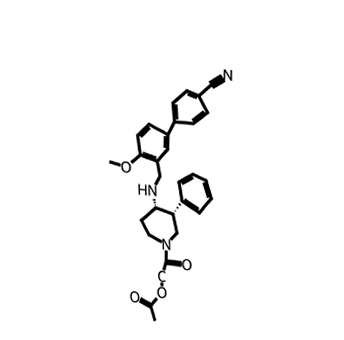 COc1ccc(-c2ccc(C#N)cc2)cc1CN[C@H]1CCN(C(=O)COC(C)=O)C[C@H]1c1ccccc1